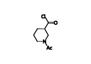 CC(=O)N1CCCC(C(=O)Cl)C1